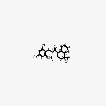 Cc1cc(Cl)cc(Cl)c1CNC(=O)C1CCC2(CO2)c2ncccc21